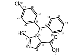 O=C(O)c1cnc(S)n1C(c1ccccc1)c1ccc(Cl)cc1